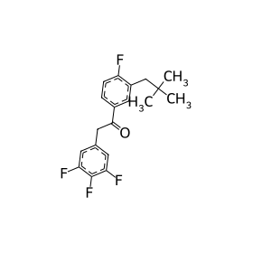 CC(C)(C)Cc1cc(C(=O)Cc2cc(F)c(F)c(F)c2)ccc1F